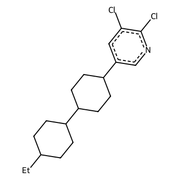 CCC1CCC(C2CCC(c3cnc(Cl)c(Cl)c3)CC2)CC1